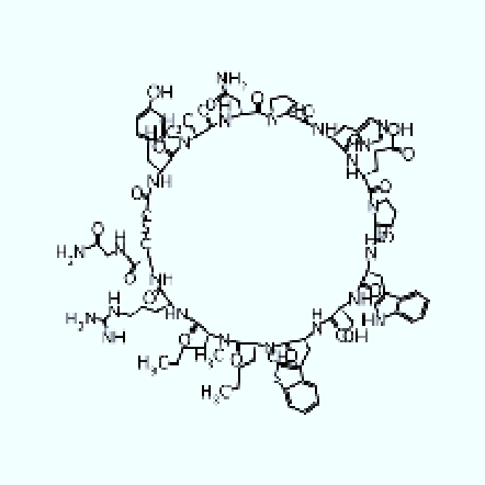 CCCC[C@H]1C(=O)N(C)[C@@H](CCCC)C(=O)N[C@@H](CCCNC(=N)N)C(=O)N[C@H](C(=O)NCC(N)=O)CSCC(=O)N[C@@H](Cc2ccc(O)cc2)C(=O)N(C)[C@@H](C)C(=O)N[C@@H](CC(N)=O)C(=O)N2CCC[C@H]2C(=O)N[C@@H](Cc2cnc[nH]2)C(=O)N[C@@H](CCC(=O)O)C(=O)N2CCC[C@H]2C(=O)N[C@@H](Cc2c[nH]c3ccccc23)C(=O)N[C@@H](CO)C(=O)N[C@@H](Cc2csc3ccccc23)C(=O)N1C